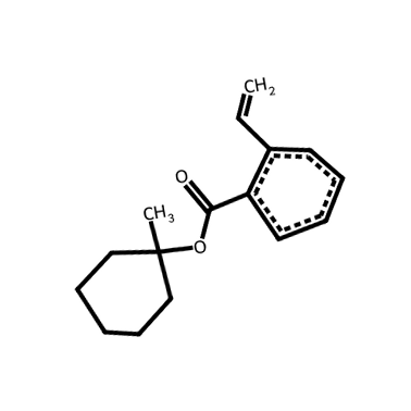 C=Cc1ccccc1C(=O)OC1(C)CCCCC1